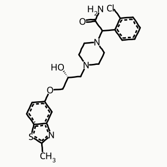 Cc1nc2cc(OC[C@H](O)CN3CCN(C(C(N)=O)c4ccccc4Cl)CC3)ccc2s1